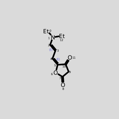 CCN(/C=C/C=C1/OC(=O)CC1=O)CC